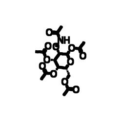 CC(=O)NO[C@H]1C(OC(C)=O)O[C@H](COC(C)=O)[C@H](OC(C)=O)[C@@H]1OC(C)=O